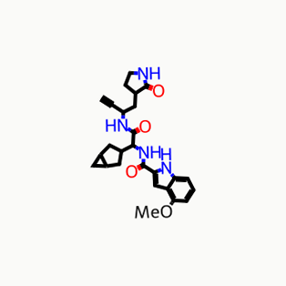 C#CC(CC1CCNC1=O)NC(=O)C(NC(=O)c1cc2c(OC)cccc2[nH]1)C1CC2CC2C1